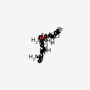 CC(C)n1ncc2c(Cl)c(-c3n[nH]c4nc(N5CC[C@@H]6[C@H](C5)[C@]6(c5ccccc5F)C(N)C(C(N)=O)n5cc6c(Cl)c(-c7n[nH]c8nc(N9CC[C@@H]%10[C@H](C9)[C@@]%10(CN)c9ccccc9F)cnc78)ccc6n5)cnc34)ccc21